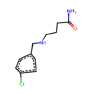 NC(=O)CCCNCc1ccc(Cl)cc1